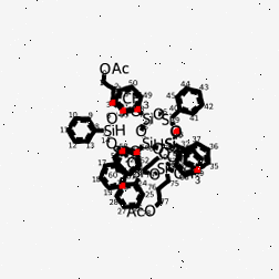 CC(=O)OCCC[Si]1(C)O[SiH](c2ccccc2)O[Si]2(c3ccccc3)O[Si]3(c4ccccc4)O[SiH](c4ccccc4)O[Si]4(c5ccccc5)O[Si](c5ccccc5)(O1)O[Si](c1ccccc1)(O2)O[Si](c1ccccc1)(O[Si](C)(CCCOC(C)=O)O3)O4